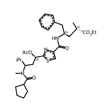 CCOC(=O)[C@@H](C)C[C@H](Cc1ccccc1)NC(=O)c1csc([C@@H](CC(C(C)C)N(C)C(=O)C2CCCC2)OC(C)=O)n1